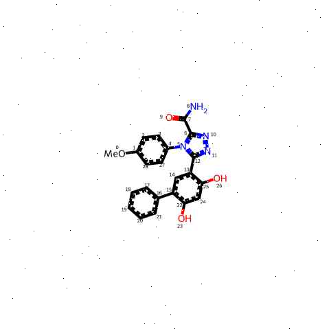 COc1ccc(-n2c(C(N)=O)nnc2-c2cc(-c3ccccc3)c(O)cc2O)cc1